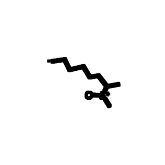 [CH2]CCCCCC(C)[S+](C)[O-]